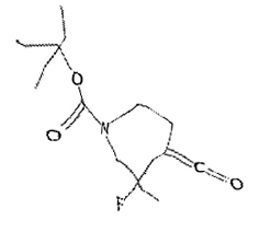 CC(C)(C)OC(=O)N1CCC(=C=O)C(C)(F)C1